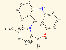 CCC1CN(C)c2c3c(nc4cccc(c24)O1)CCCC3.O=C(O)/C=C/C(=O)O